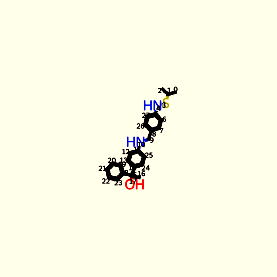 CC(C)SNc1ccc(CNc2ccc(C(C)(O)c3ccccc3)cc2)cc1